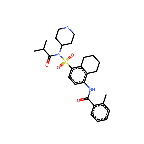 Cc1ccccc1C(=O)Nc1ccc(S(=O)(=O)N(C(=O)C(C)C)C2CCNCC2)c2c1CCCC2